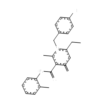 CCc1cc(=O)c(C(=O)Nc2ccccc2C)c(C)n1Cc1ccc(Cl)cc1